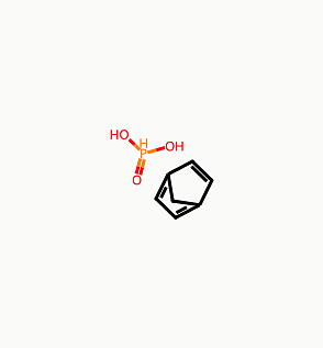 C1=CC2=CC=C1C2.O=[PH](O)O